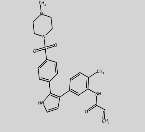 C=CC(=O)Nc1cc(-c2cc[nH]c2-c2ccc(S(=O)(=O)N3CCN(C)CC3)cc2)ccc1C